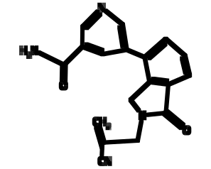 C=C(C#N)CN1Cc2c(cccc2-c2cncc(C(N)=O)c2)C1=O